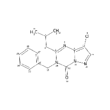 CC(C)Cc1nc2c(Cl)cnn2c(=O)n1Cc1ccccc1